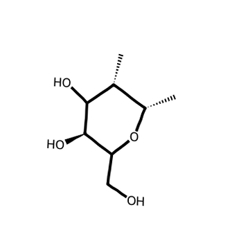 C[C@@H]1OC(CO)[C@@H](O)C(O)[C@@H]1C